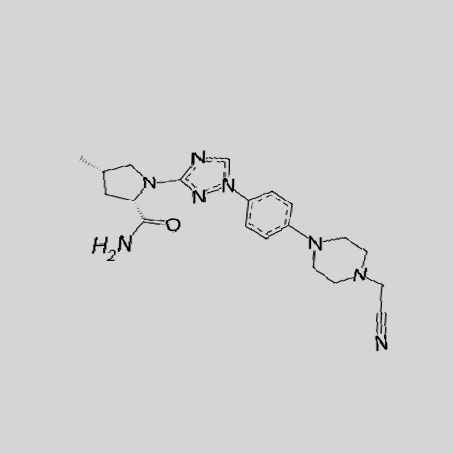 C[C@H]1C[C@@H](C(N)=O)N(c2ncn(-c3ccc(N4CCN(CC#N)CC4)cc3)n2)C1